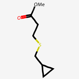 COC(=O)CCSCC1CC1